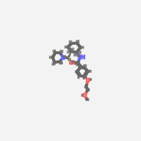 COCCOc1ccc(C(=O)N[C@@H]2CCCC[C@H]2CN2CCCCC2)cc1